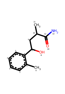 Cc1ccccc1C(O)CC(C)C(N)=O